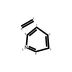 C=C.c1ccncc1